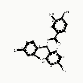 N#Cc1ccc(C(=O)N[C@H](c2ccc(Cl)cn2)c2ccc(Cl)cc2F)cc1F